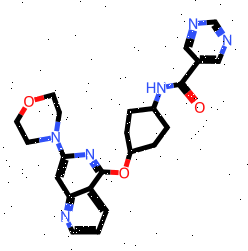 O=C(NC1CCC(Oc2nc(N3CCOCC3)cc3ncccc23)CC1)c1cncnc1